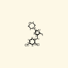 Cc1sc(N2CCOCC2)nc1Cc1ccc(Cl)cc1Cl